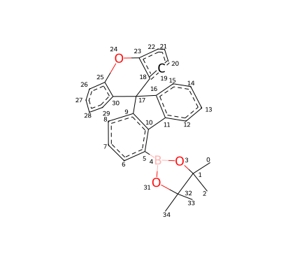 CC1(C)OB(c2cccc3c2-c2ccccc2C32c3ccccc3Oc3ccccc32)OC1(C)C